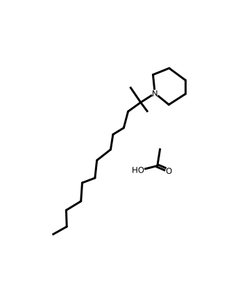 CC(=O)O.CCCCCCCCCCCC(C)(C)N1CCCCC1